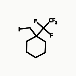 FC(F)(F)C(F)(F)C1(CI)CCCCC1